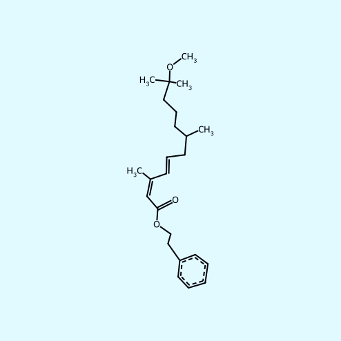 COC(C)(C)CCCC(C)CC=CC(C)=CC(=O)OCCc1ccccc1